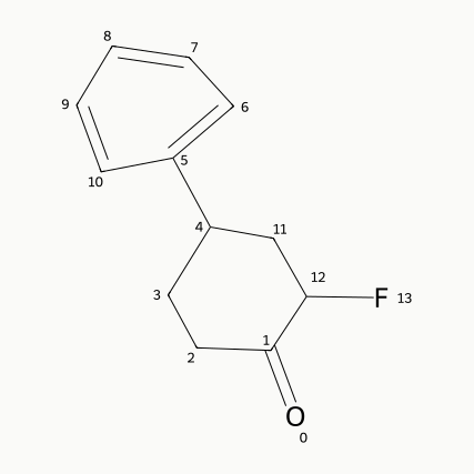 O=C1CCC(c2ccccc2)CC1F